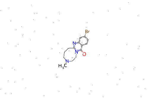 CN1CCCc2nc3cc(Br)ccc3c(=O)n2CC1